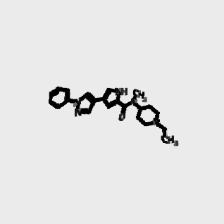 CCN1CCC(N(C)C(=O)c2cc(-c3cnn(-c4ccccc4)c3)c[nH]2)CC1